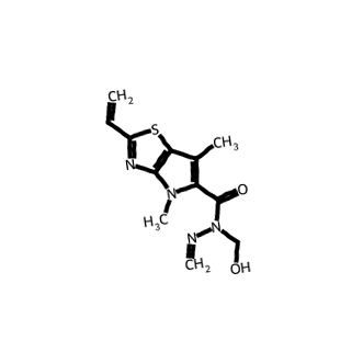 C=Cc1nc2c(s1)c(C)c(C(=O)N(CO)N=C)n2C